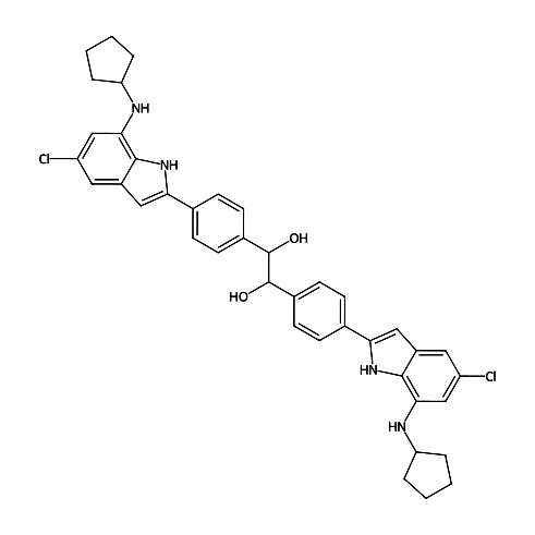 OC(c1ccc(-c2cc3cc(Cl)cc(NC4CCCC4)c3[nH]2)cc1)C(O)c1ccc(-c2cc3cc(Cl)cc(NC4CCCC4)c3[nH]2)cc1